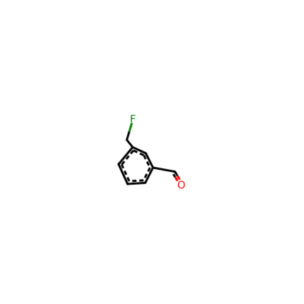 O=Cc1cccc(CF)c1